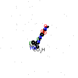 C=CC(=O)N1CC(S(=O)(=O)c2ccc(N3CC(F)(CN4CCC([C@@](C#N)(c5cccc(F)c5)[C@H]5CCC[C@@H]5NC(=O)O)CC4)C3)cc2)C1